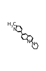 Cc1ccc(-c2ccc3nc(N4CCCCC4)ccc3c2)cn1